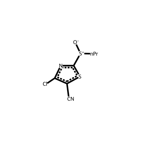 CCC[S+]([O-])c1nc(Cl)c(C#N)s1